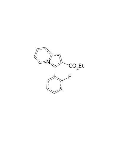 CCOC(=O)c1cc2ccccn2c1-c1ccccc1F